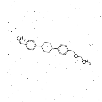 C=Cc1ccc([C@H]2CC[C@H](c3ccc(COCC)cc3)CC2)cc1